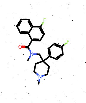 CN1CCC(CN(C)C(=O)c2ccc(F)c3ccccc23)(c2ccc(F)cc2)CC1